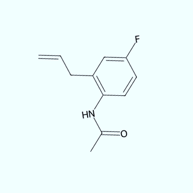 C=CCc1cc(F)ccc1NC(C)=O